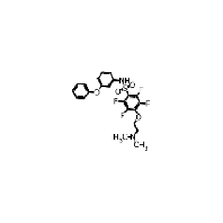 CN(C)CCOc1c(F)c(F)c(S(=O)(=O)Nc2cccc(Oc3ccccc3)c2)c(F)c1F